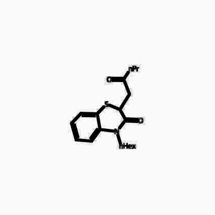 CCCCCCN1C(=O)C(CC(=O)CCC)Sc2ccccc21